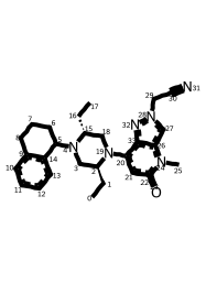 CC[C@H]1CN(C2CCCc3ccccc32)[C@H](CC)CN1c1cc(=O)n(C)c2cn(CC#N)nc12